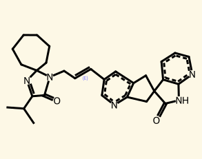 CC(C)C1=NC2(CCCCCC2)N(C/C=C/c2cnc3c(c2)CC2(C3)C(=O)Nc3ncccc32)C1=O